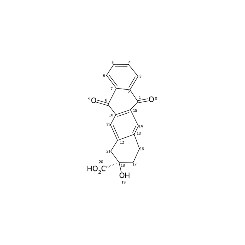 O=C1c2ccccc2C(=O)c2cc3c(cc21)CC[C@](O)(C(=O)O)C3